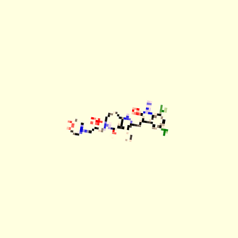 Cc1c(C=C2C(=O)Nc3c(Br)cc(F)cc32)[nH]c2c1C(=O)N(C[C@@H](O)CN1CCOCC1)CCC2